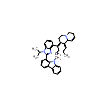 CC/C=C1\C(=C(/CC)c2cccc3c2nc(-c2cccc4c5ccccc5n(C)c24)n3C(C)C)CCN2CCC=CC12